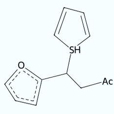 CC(=O)CC(c1ccco1)[SH]1C=CC=C1